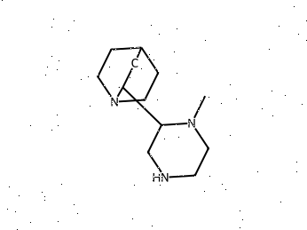 CN1CCNCC1[C]1CC2CCN1CC2